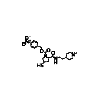 CN1CCC(CCNC(=O)C2CC(S)CN2C(=O)OCc2ccc([N+](=O)[O-])cc2)CC1